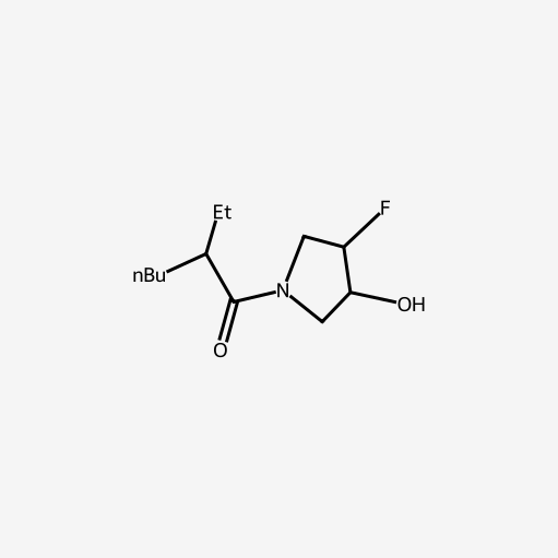 CCCCC(CC)C(=O)N1CC(O)C(F)C1